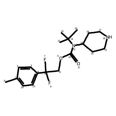 Cc1ccc(C(F)(F)COC(=O)N(C2CCNCC2)C(C)(C)C)cc1